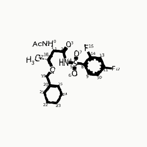 CC(=O)N[C@H](C(=O)NS(=O)(=O)c1ccc(F)cc1F)[C@@H](C)OCC1CCCCC1